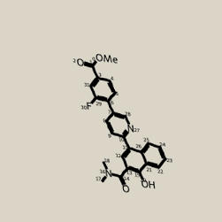 COC(=O)c1ccc(-c2ccc(-c3cc(C(=O)N(C)C)c(O)c4ccccc34)nc2)c(F)c1